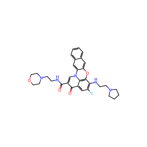 O=C(NCCN1CCOCC1)c1cn2c3c(c(NCCN4CCCC4)c(F)cc3c1=O)Oc1cc3ccccc3cc1-2